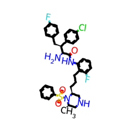 C[C@H]1CNC[C@H](CCCc2c(F)cccc2NC(=O)[C@@H](N)[C@@H](Cc2ccc(F)cc2)c2ccc(Cl)cc2)N1S(=O)(=O)c1ccccc1